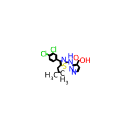 CC(C)Cc1sc(Nc2nnccc2C(=O)O)nc1-c1ccc(Cl)c(Cl)c1